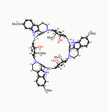 COc1ccc2c3c([nH]c2c1)/C1=C\Cc2ccc(c(OC)c2O)N2CCc4c([nH]c5cc(OC)ccc45)/C2=C\Cc2ccc(c(OC)c2O)N2CCc4c([nH]c5cc(OC)ccc45)/C2=C\Cc2ccc(c(OC)c2O)N1CC3